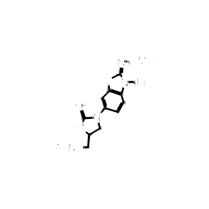 CON=c1sc2cc(N3CC(CNC(C)=O)OC3=O)ccc2n1C(C)C